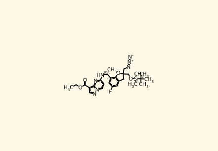 CCOC(=O)c1cnn2ccc(N[C@H](C)c3cc(F)cc4c3OC(CN=[N+]=[N-])(CO[Si](C)(C)C(C)(C)C)C4)nc12